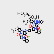 Cc1ccc(NC(=O)[C@H]2CCCN(C(=O)c3c(C)cccc3F)[C@H]2c2ccc(NC3CCCC3)cc2)cc1C(F)(F)F.Cc1ccc(NC(=O)[C@H]2CCCN(C(=O)c3c(C)cccc3F)[C@H]2c2ccc(NC3CCCC3)cc2)cc1C(F)(F)F.O=S(=O)(O)CCS(=O)(=O)O